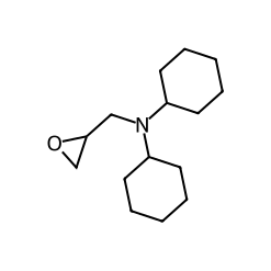 C1CCC(N(CC2CO2)C2CCCCC2)CC1